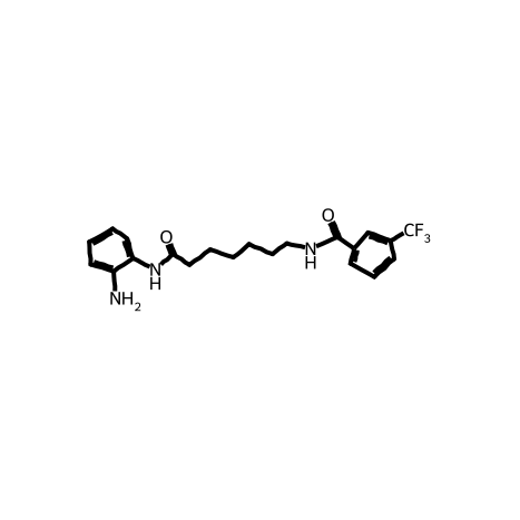 Nc1ccccc1NC(=O)CCCCCCNC(=O)c1cccc(C(F)(F)F)c1